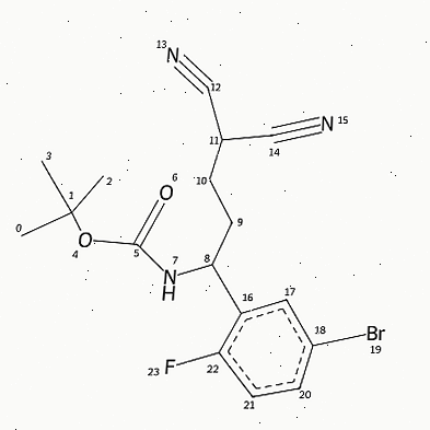 CC(C)(C)OC(=O)NC(CCC(C#N)C#N)c1cc(Br)ccc1F